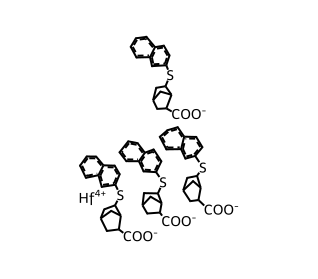 O=C([O-])C1CC2CC(Sc3ccc4ccccc4c3)C1C2.O=C([O-])C1CC2CC(Sc3ccc4ccccc4c3)C1C2.O=C([O-])C1CC2CC(Sc3ccc4ccccc4c3)C1C2.O=C([O-])C1CC2CC(Sc3ccc4ccccc4c3)C1C2.[Hf+4]